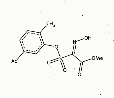 COC(=O)C(=NO)S(=O)(=O)Oc1cc(C(C)=O)ccc1C